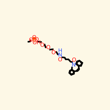 CCOP(=O)(O)OCCOCCOCCOCCNC(=O)CCCCC(=O)N1Cc2ccccc2C#Cc2ccccc21